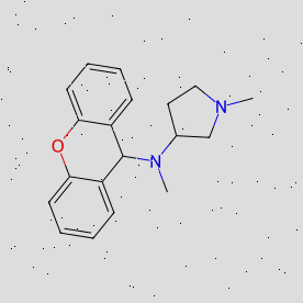 CN1CCC(N(C)C2c3ccccc3Oc3ccccc32)C1